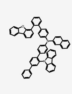 c1ccc(-c2ccc(-c3ccc(N(c4ccc(-c5ccccc5-c5cccc6c5oc5ccccc56)cc4)c4ccc5ccccc5c4)cc3)c(-n3c4ccccc4c4ccccc43)c2)cc1